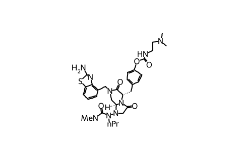 CCCN(C(=O)NC)N1CC(=O)N2[C@@H](Cc3ccc(OC(=O)NCCN(C)C)cc3)C(=O)N(Cc3cccc4sc(N)nc34)C[C@@H]21